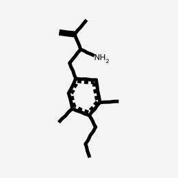 C=C(C)C(N)Cc1cc(C)c(CCC)c(C)c1